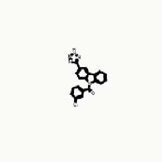 O=C(c1cccc(Cl)c1)n1c2ccccc2c2cc(-c3nn[nH]n3)ccc21